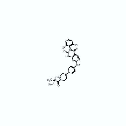 COC(C)(C)C(=O)N1CCN(c2ccc(Nc3ncc4c(=O)n(-c5c(Cl)cccc5Cl)c(=O)[nH]c4n3)cc2)CC1